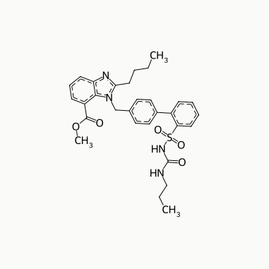 CCCCc1nc2cccc(C(=O)OC)c2n1Cc1ccc(-c2ccccc2S(=O)(=O)NC(=O)NCCC)cc1